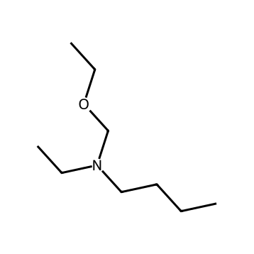 CCCCN(CC)COCC